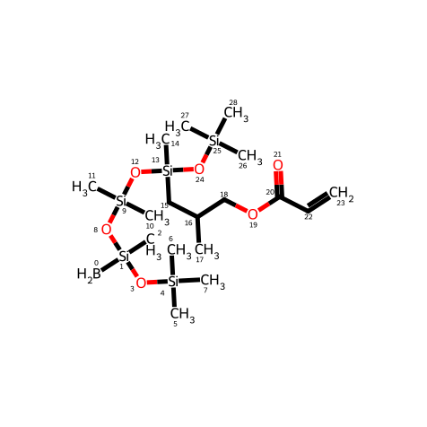 B[Si](C)(O[Si](C)(C)C)O[Si](C)(C)O[Si](C)(CC(C)COC(=O)C=C)O[Si](C)(C)C